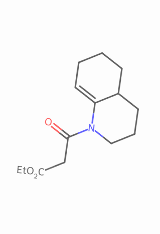 CCOC(=O)CC(=O)N1CCCC2CCCC=C21